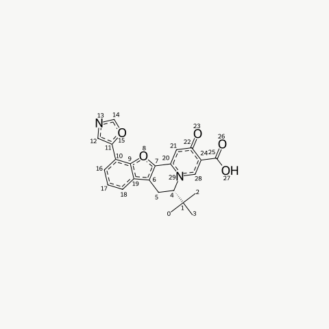 CC(C)(C)[C@@H]1Cc2c(oc3c(-c4cnco4)cccc23)-c2cc(=O)c(C(=O)O)cn21